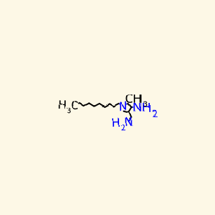 CCCCCCCCCCN1CC(CN)C(N)C1C